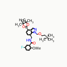 COc1ccc(F)cc1C(=O)NCc1ccc(B2OC(C)(C)C(C)(C)O2)c2cnn(COCC[Si](C)(C)C)c12